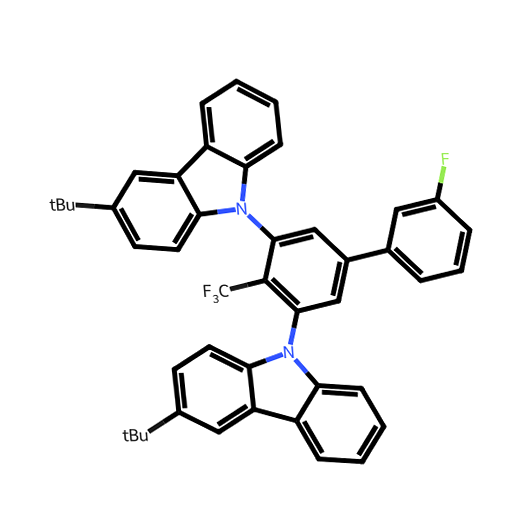 CC(C)(C)c1ccc2c(c1)c1ccccc1n2-c1cc(-c2cccc(F)c2)cc(-n2c3ccccc3c3cc(C(C)(C)C)ccc32)c1C(F)(F)F